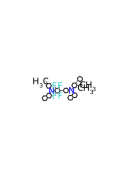 Cc1ccc(N(c2ccc3ccccc3c2)c2c(F)c(F)c(-c3ccc(N(c4ccc5c(c4)C(C)(C)c4ccccc4-5)c4cccc5ccccc45)cc3)c(F)c2F)cc1